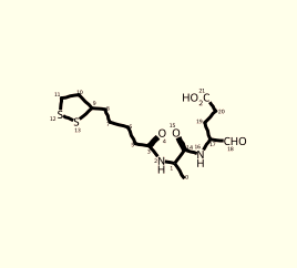 CC(NC(=O)CCCCC1CCSS1)C(=O)NC(C=O)CCC(=O)O